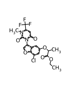 CCOC(=O)C(C)Oc1cc(Cl)c2occ(-n3c(=O)cc(C(F)(F)F)n(C)c3=O)c2c1